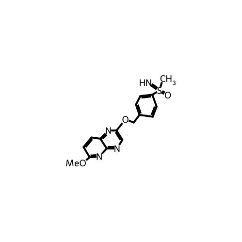 COc1ccc2nc(OCc3ccc(S(C)(=N)=O)cc3)cnc2n1